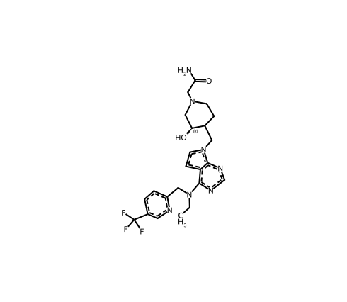 CCN(Cc1ccc(C(F)(F)F)cn1)c1ncnc2c1ccn2CC1CCN(CC(N)=O)C[C@@H]1O